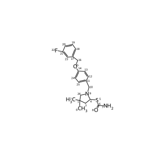 CC1(C)CC(SC(N)=O)N(Cc2ccc(OCc3cccc(F)c3)cc2)C1